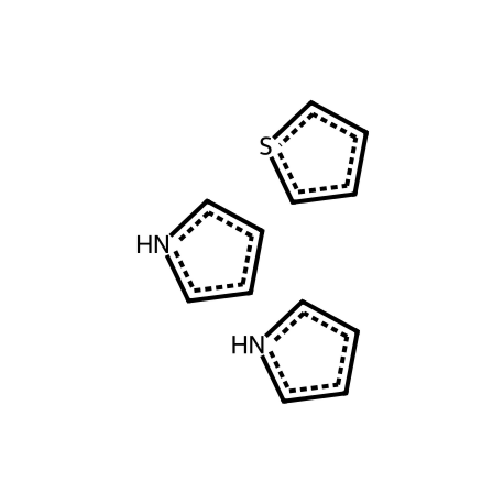 c1cc[nH]c1.c1cc[nH]c1.c1ccsc1